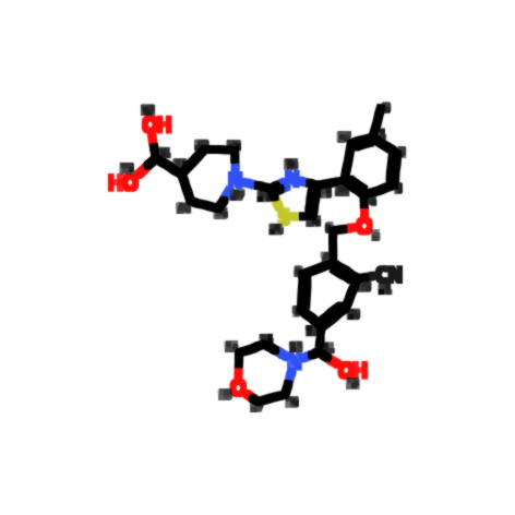 Cc1ccc(OCc2ccc(C(O)N3CCOCC3)cc2C#N)c(-c2csc(N3CCC(C(O)O)CC3)n2)c1